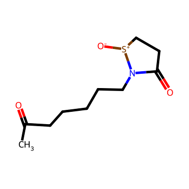 CC(=O)CCCCCN1C(=O)CC[S+]1[O-]